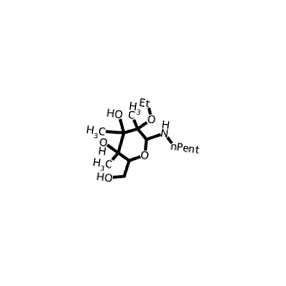 CCCCCNC1OC(CO)C(C)(O)C(C)(O)C1(C)OCC